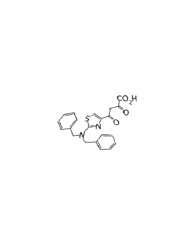 O=C(O)C(=O)CC(=O)c1csc(N(Cc2ccccc2)Cc2ccccc2)n1